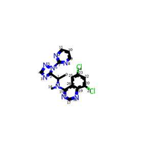 CC(c1ncnn1-c1ncccn1)N(C)c1ncnc2c(Cl)cc(Cl)cc12